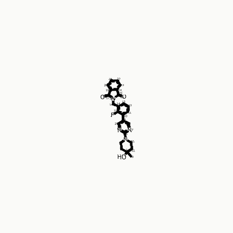 CC1(O)CCN(c2ncc(-c3cccc(CN4C(=O)c5ccccc5C4=O)c3F)cn2)CC1